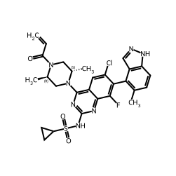 C=CC(=O)N1C[C@H](C)N(c2nc(NS(=O)(=O)C3CC3)nc3c(F)c(-c4c(C)ccc5[nH]ncc45)c(Cl)cc23)C[C@H]1C